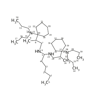 CCCCCC(NCC(C)C1([16N](CCC)CCC)CCCCC1)NCC(C)C1([16N](CCC)CCC)CCCCC1